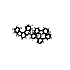 c1ccc(-c2cccc(-c3ccc(-n4c5ccccc5c5c6c(ccc54)oc4ccccc46)cc3)c2-n2c3ccccc3c3ccccc32)cc1